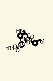 C[C@H](c1c[nH]c2ccccc12)[C@@H](NC(=O)N1CCN(C(=O)OC(C)(C)C)CC1)C(=O)Nc1cccc(CN(C)C)c1